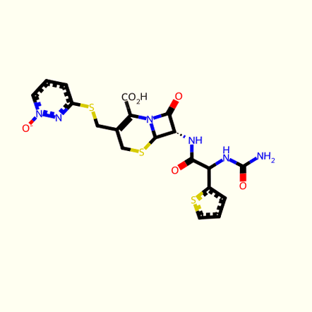 NC(=O)NC(C(=O)N[C@H]1C(=O)N2C(C(=O)O)=C(CSc3ccc[n+]([O-])n3)CSC12)c1cccs1